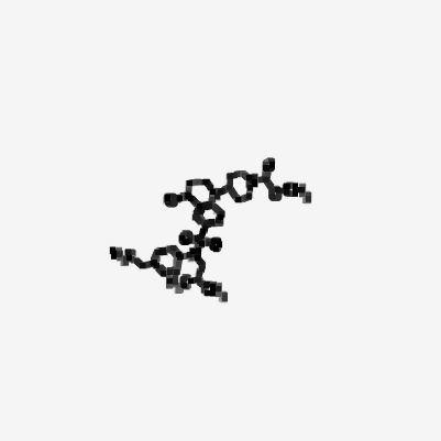 CCc1ccc(N(CC(C)C)S(=O)(=O)c2ccc3c(c2)C(=O)CCN3C2CCN(C(=O)OC)CC2)cc1